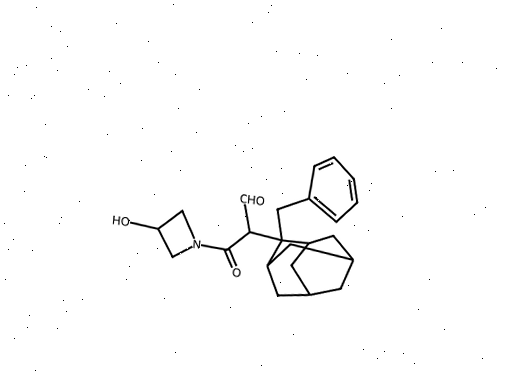 O=CC(C(=O)N1CC(O)C1)C1(Cc2ccccc2)C2CC3CC(C2)CC1C3